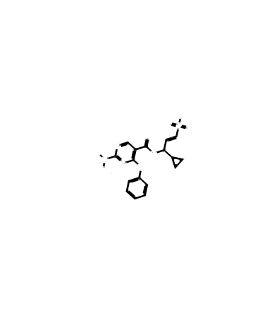 CN(C)c1ncc(C(=O)NC(/C=C/S(C)(=O)=O)C2CC2)c(Oc2ccccc2)n1